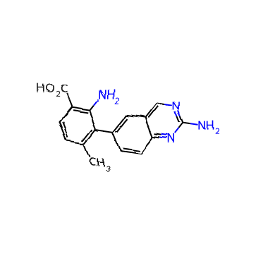 Cc1ccc(C(=O)O)c(N)c1-c1ccc2nc(N)ncc2c1